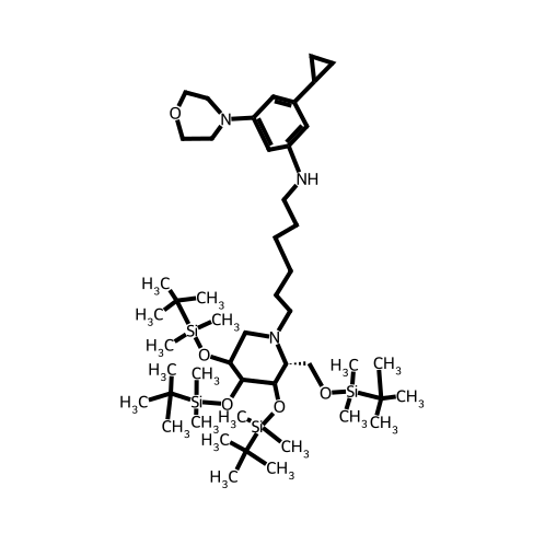 CC(C)(C)[Si](C)(C)OC[C@@H]1C(O[Si](C)(C)C(C)(C)C)C(O[Si](C)(C)C(C)(C)C)C(O[Si](C)(C)C(C)(C)C)CN1CCCCCCNc1cc(C2CC2)cc(N2CCOCC2)c1